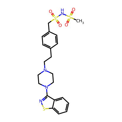 CS(=O)(=O)NS(=O)(=O)Cc1ccc(CCN2CCN(c3nsc4ccccc34)CC2)cc1